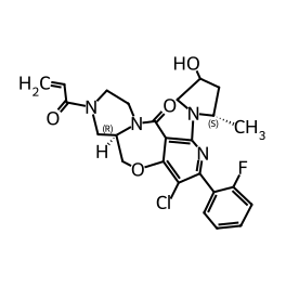 C=CC(=O)N1CCN2C(=O)c3c(N4CC(O)C[C@@H]4C)nc(-c4ccccc4F)c(Cl)c3OC[C@H]2C1